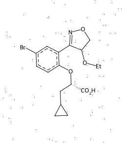 CCOC1CON=C1c1cc(Br)ccc1O[C@@H](CC1CC1)C(=O)O